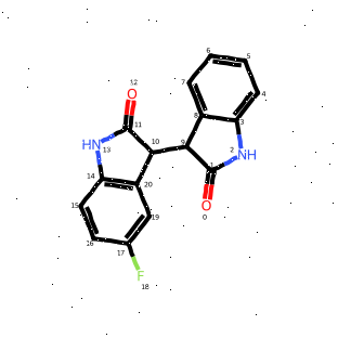 O=C1Nc2ccccc2C1C1C(=O)Nc2ccc(F)cc21